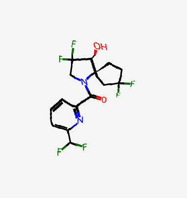 O=C(c1cccc(C(F)F)n1)N1CC(F)(F)[C@@H](O)[C@@]12CCC(F)(F)C2